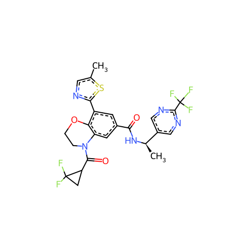 Cc1cnc(-c2cc(C(=O)N[C@H](C)c3cnc(C(F)(F)F)nc3)cc3c2OCCN3C(=O)C2CC2(F)F)s1